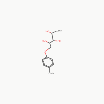 COc1ccc(OCC(O)C(O)C(O)C=O)cc1